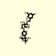 O=C(NCc1cc(F)cc(Cl)c1)C1(O)CCN(c2ccc(C(O)(C(F)(F)F)C(F)(F)F)cc2)C1=O